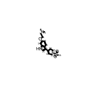 CN(C)CCOc1ccc2c(C3=CCN(S(C)(=O)=O)CC3)c[nH]c2c1